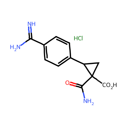 Cl.N=C(N)c1ccc(C2CC2(C(N)=O)C(=O)O)cc1